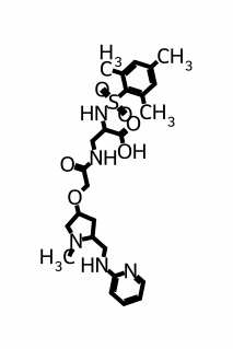 Cc1cc(C)c(S(=O)(=O)NC(CNC(=O)COC2CC(CNc3ccccn3)N(C)C2)C(=O)O)c(C)c1